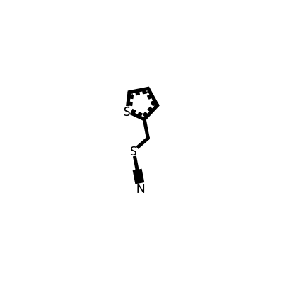 N#CSCc1cccs1